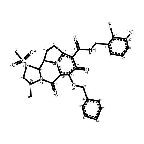 C[C@H]1CN(S(C)(=O)=O)C2C3CCc4c(C(=O)NCc5cccc(Cl)c5F)c(=O)c(OCc5ccccc5)c(n43)C(=O)N21